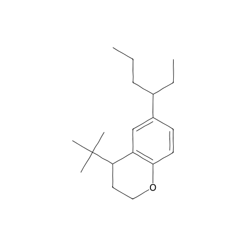 CCCC(CC)c1ccc2c(c1)C(C(C)(C)C)CCO2